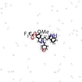 COc1cc2c(cc1OC(=O)C(F)(F)F)CCN(CC1CCOCC1)C2CCc1c[nH]c2ccccc12